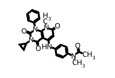 CC(=O)N(C)c1ccc(Nc2cc(=O)n(C)c3c2c(=O)n(C2CC2)c(=O)n3-c2ccccc2)cc1